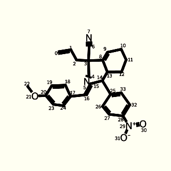 C=CCC(C#N)(C#N)C1=CCCCC1C(/C=C/c1ccc(OC)cc1)c1ccc([N+](=O)[O-])cc1